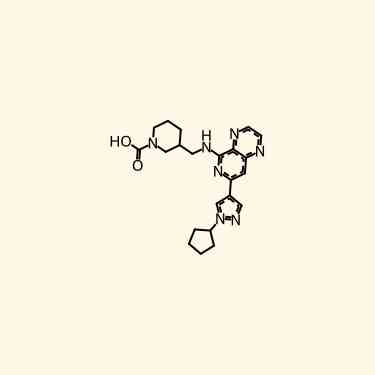 O=C(O)N1CCCC(CNc2nc(-c3cnn(C4CCCC4)c3)cc3nccnc23)C1